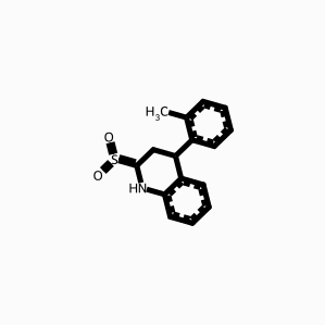 Cc1ccccc1C1CC(=S(=O)=O)Nc2ccccc21